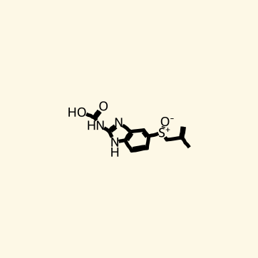 C=C(C)C[S+]([O-])c1ccc2[nH]c(NC(=O)O)nc2c1